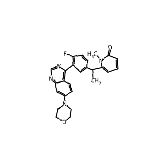 CC(c1ccc(F)c(-c2ncnc3cc(N4CCOCC4)ccc23)c1)c1cccc(=O)n1C